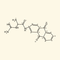 N=C(N)NC(N)C(=O)Nc1ccc2c(c1)C(=O)c1ccccc1C2=O